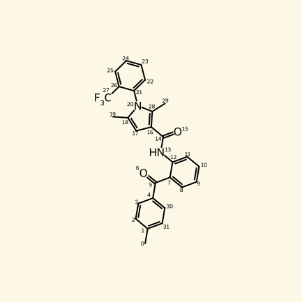 Cc1ccc(C(=O)c2ccccc2NC(=O)c2cc(C)n(-c3ccccc3C(F)(F)F)c2C)cc1